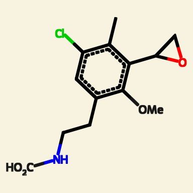 COc1c(CCNC(=O)O)cc(Cl)c(C)c1C1CO1